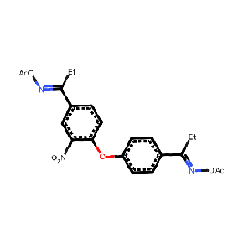 CC/C(=N\OC(C)=O)c1ccc(Oc2ccc(/C(CC)=N/OC(C)=O)cc2[N+](=O)[O-])cc1